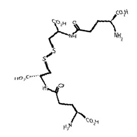 N[C@@H](CCC(=O)NC(CSSC[C@H](NC(=O)CC[C@H](N)C(=O)O)C(=O)O)C(=O)O)C(=O)O